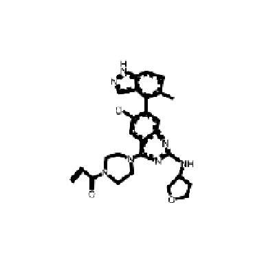 C=CC(=O)N1CCN(c2nc(NC3CCOC3)nc3cc(-c4c(C)ccc5[nH]ncc45)c(Cl)cc23)CC1